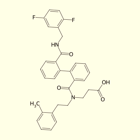 Cc1ccccc1CCN(CCC(=O)O)C(=O)c1ccccc1-c1ccccc1C(=O)NCc1cc(F)ccc1F